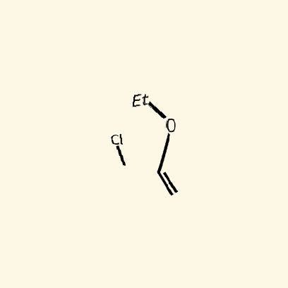 C=COCC.CCl